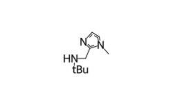 Cn1ccnc1CNC(C)(C)C